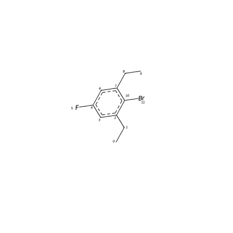 CCc1cc(F)cc(CC)c1Br